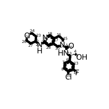 O=C(N[C@H](CO)c1ccc(Cl)c(F)c1)N1CCc2cnc(NC3CCOCC3)cc2C1